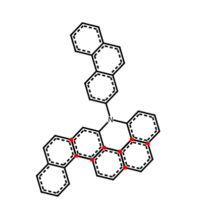 c1ccc(-c2ccccc2N(c2ccc3c(ccc4ccccc43)c2)c2ccccc2-c2cccc(-c3cccc4ccccc34)c2)cc1